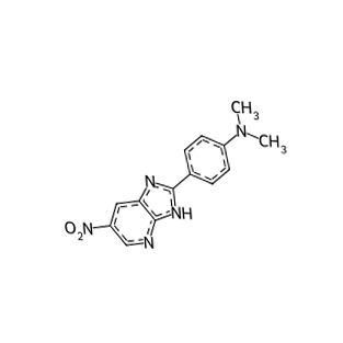 CN(C)c1ccc(-c2nc3cc([N+](=O)[O-])cnc3[nH]2)cc1